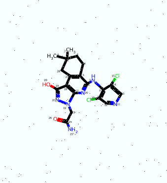 CC1(C)CCc2c(Nc3c(Cl)cncc3Cl)nc3c(c(O)nn3CC(N)=O)c2C1